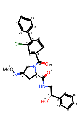 CON=C1C[C@@H](C(=O)NC[C@@H](O)c2ccccc2)N(C(=O)c2ccc(-c3ccccc3)c(Cl)c2)C1